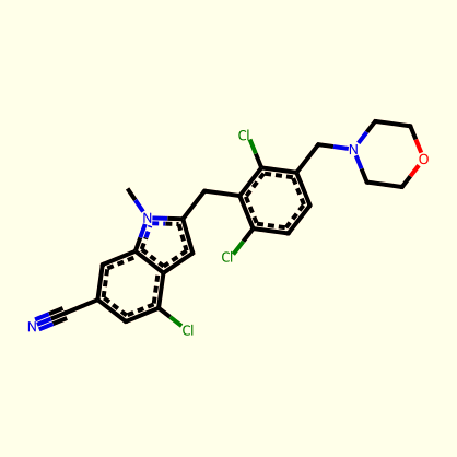 Cn1c(Cc2c(Cl)ccc(CN3CCOCC3)c2Cl)cc2c(Cl)cc(C#N)cc21